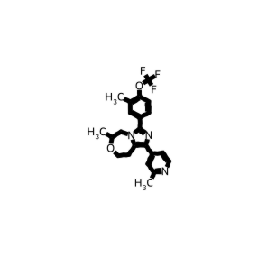 Cc1cc(-c2nc(-c3ccc(OC(F)(F)F)c(C)c3)n3c2CCOC(C)C3)ccn1